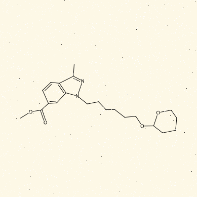 COC(=O)c1ccc2c(C)nn(CCCCCCOC3CCCCO3)c2c1